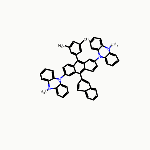 Cc1cc(C)cc(-c2c3ccc(N4c5ccccc5N(C)c5ccccc54)cc3c(-c3ccc4ccccc4c3)c3ccc(N4c5ccccc5N(C)c5ccccc54)cc23)c1